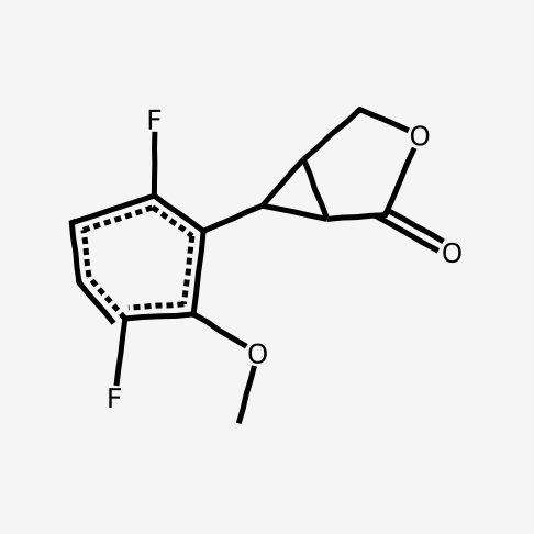 COc1c(F)ccc(F)c1C1C2COC(=O)C21